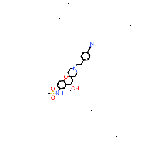 CS(=O)(=O)Nc1ccc2c(c1)[C@@H](O)CC1(CCN(CCc3ccc(C#N)cc3)CC1)O2